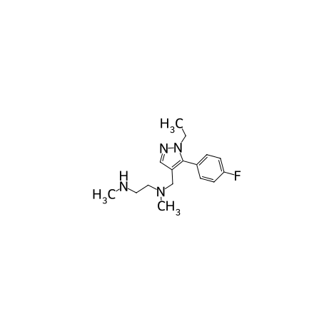 CCn1ncc(CN(C)CCNC)c1-c1ccc(F)cc1